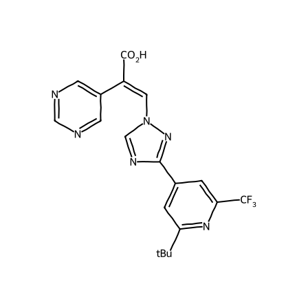 CC(C)(C)c1cc(-c2ncn(/C=C(/C(=O)O)c3cncnc3)n2)cc(C(F)(F)F)n1